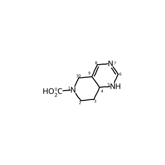 O=C(O)N1CCC2NC=NC=C2C1